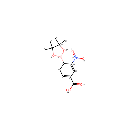 CC1(C)OB(C2CC=C(C(=O)O)C=C2[N+](=O)[O-])OC1(C)C